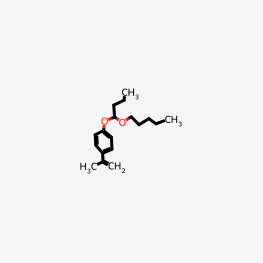 C=C(C)c1ccc(OC(CCC)OCCCCC)cc1